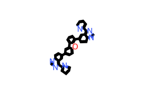 c1ccc(-c2ncnc3ccc(-c4ccc5oc6c(-c7ccc8ncnc(-c9ccccn9)c8c7)cccc6c5c4)cc23)nc1